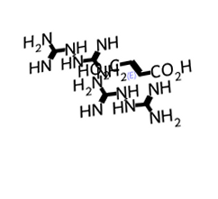 N=C(N)NNC(=N)N.N=C(N)NNC(=N)N.O=C(O)/C=C/C(=O)O